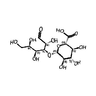 O=C[C@H](O)[C@@H](O[C@@H]1O[C@H](C(=O)O)[C@@H](O)[C@H](O)[C@H]1O)[C@@H](O)[C@H](O)CO